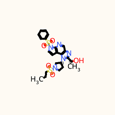 CCCS(=O)(=O)N1CC[C@@H](n2c([C@@H](C)O)nc3cnc4c(ccn4S(=O)(=O)c4ccccc4)c32)C1